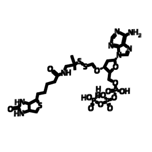 CC(C)(CNC(=O)CCCCC1SCC2NC(=O)NC21)SSCO[C@@H]1C[C@H](n2cnc3c(N)ncnc32)OC1COP(=O)(O)OP(=O)(O)OP(=O)(O)O